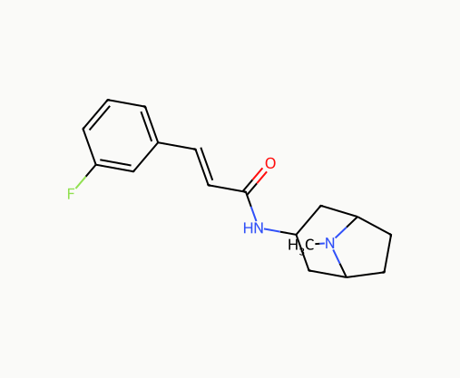 CN1C2CCC1CC(NC(=O)C=Cc1cccc(F)c1)C2